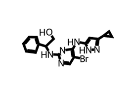 OCC(Nc1ncc(Br)c(Nc2cc(C3CC3)n[nH]2)n1)c1ccccc1